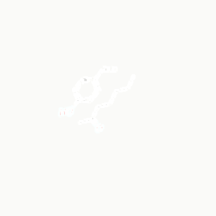 C=Cc1ccc(O)cc1.CCCCCC(C)=O